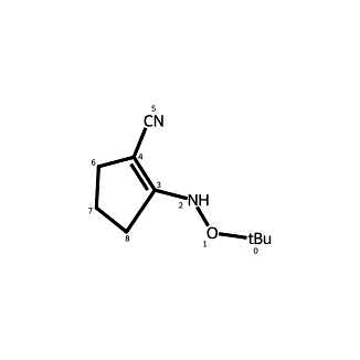 CC(C)(C)ONC1=C(C#N)CCC1